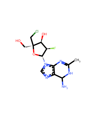 CC1=Nc2c(ncn2[C@@H]2O[C@@](CO)(CCl)[C@@H](O)[C@H]2F)C(N)N1